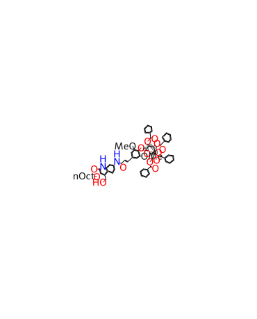 CCCCCCCCOc1c(CO)c2ccc(NC(=O)C=Cc3cc(OC)c(O[C@@H]4O[C@H](COC(=O)c5ccccc5)[C@@H](OC(=O)c5ccccc5)[C@H](OC(=O)c5ccccc5)[C@H]4OC(=O)c4ccccc4)c(OC)c3)cc2[nH]c1=O